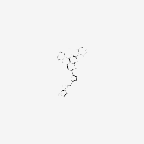 C[C@H]1COCCN1c1nc(N2CCOC[C@@H]2C)c2ccc(-c3ccc(CNc4cc[nH]n4)o3)nc2n1